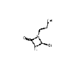 CCC1NC(=O)N1CCO